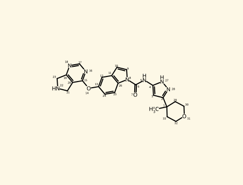 CC1(c2cc(NC(=O)n3ccc4cc(Oc5ncnc6c5CNC6)ccc43)[nH]n2)CCOCC1